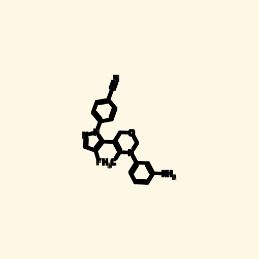 CC1=C(c2c(F)cnn2-c2ccc(C#N)cc2)COCN1c1cccc(N)c1